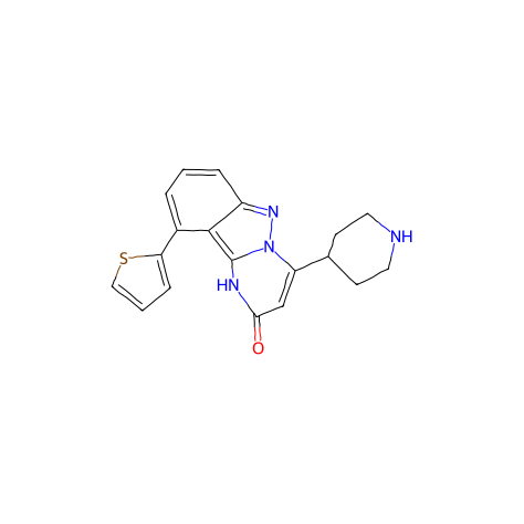 O=c1cc(C2CCNCC2)n2nc3cccc(-c4cccs4)c3c2[nH]1